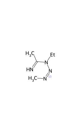 CCN(/N=N\C)C(C)=N